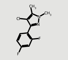 Cc1c(Cl)c(-c2ccc(F)cc2F)nn1C